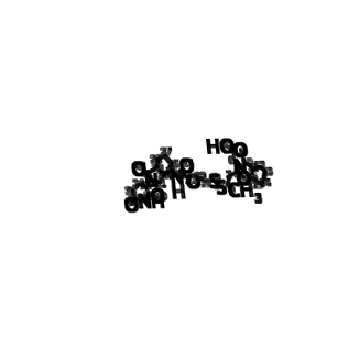 CC(CC(=O)N(CC(=O)O)Cc1ccccc1)SSCCOC(=O)Nc1cccc2c1CN(C1CCC(=O)NC1=O)C2=O